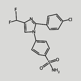 NS(=O)(=O)c1ccc(-n2cc(C(F)F)nc2-c2ccc(Cl)cc2)cc1